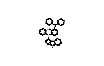 Clc1c(N(c2ccccc2)c2ccccc2)cccc1N(c1ccccc1)c1csc2sc3ccccc3c12